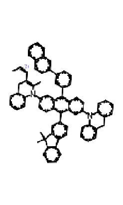 C/C=C\C1=C(C)N(c2ccc3c(-c4ccc5c(c4)C(C)(C)c4ccccc4-5)c4cc(N5c6ccccc6Cc6ccccc65)ccc4c(-c4cccc(-c5ccc6ccccc6c5)c4)c3c2)c2ccccc2C1